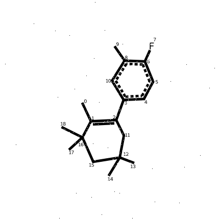 CC1=C(c2ccc(F)c(C)c2)CC(C)(C)CC1(C)C